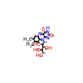 Cc1cc2nc3c(=O)[nH]c(=O)nc-3n(C[C@@H](O)[C@H](O)[C@H](O)CO)c2cc1C